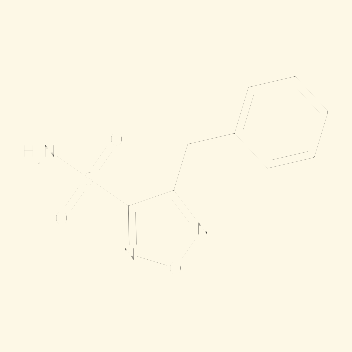 NS(=O)(=O)c1nonc1Cc1ccccc1